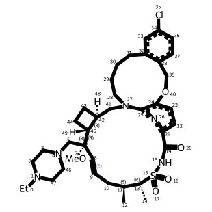 CCN1CCN(C[C@]2(OC)/C=C/C[C@H](C)[C@@H](C)S(=O)(=O)NC(=O)c3ccc4c(n3)N(CCCCc3cc(Cl)ccc3CO4)C[C@@H]3CC[C@H]32)CC1